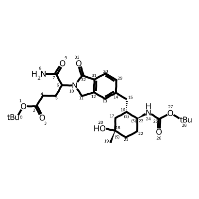 CC(C)(C)OC(=O)CCC(C(N)=O)N1Cc2cc(C[C@H]3C[C@@](C)(O)CC[C@@H]3NC(=O)OC(C)(C)C)ccc2C1=O